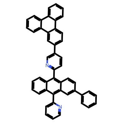 c1ccc(-c2ccc3c(-c4ccc(-c5ccc6c7ccccc7c7ccccc7c6c5)cn4)c4ccccc4c(-c4ccccn4)c3c2)cc1